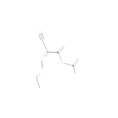 CCO/N=C(/C#N)C(=O)NC([O])=O